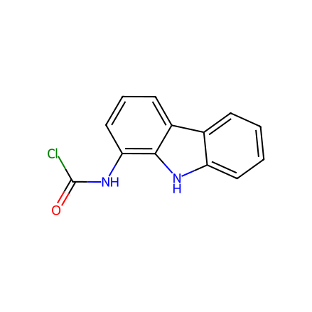 O=C(Cl)Nc1cccc2c1[nH]c1ccccc12